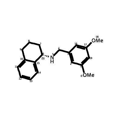 COc1cc(CN[C@H]2CCCc3ccccc32)cc(OC)c1